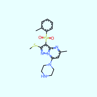 CSc1nn2c(N3CCNCC3)cc(C)nc2c1S(=O)(=O)c1ccccc1C